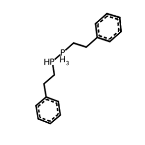 c1ccc(CCP[PH3]CCc2ccccc2)cc1